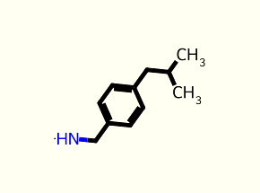 CC(C)Cc1ccc(C[NH])cc1